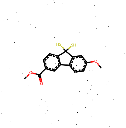 COC(=O)c1ccc2c(c1)-c1ccc(OC)cc1C2(S)S